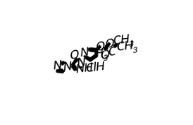 CC(C)(C)OC(=O)Oc1ccc(-n2[nH]cc(-n3ccnc3)c2=O)nc1.Cl